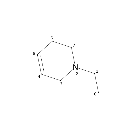 CCN1CC=CCC1